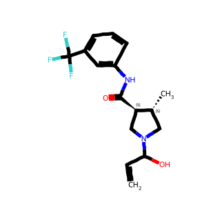 C=CC(O)N1C[C@@H](C)[C@H](C(=O)Nc2cccc(C(F)(F)F)c2)C1